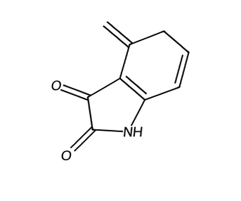 C=C1CC=CC2=C1C(=O)C(=O)N2